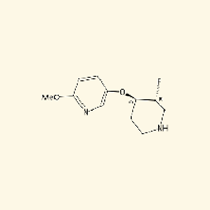 COc1ccc(O[C@@H]2CCNC[C@H]2F)cn1